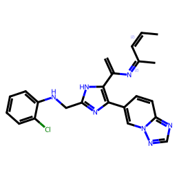 C=C(/N=C(C)\C=C/C)c1[nH]c(CNc2ccccc2Cl)nc1-c1ccc2ncnn2c1